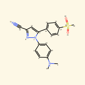 CN(C)c1ccc(-n2nc(C#N)cc2-c2ccc(S(C)(=O)=O)cc2)cc1